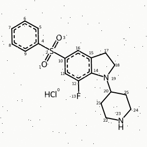 Cl.O=S(=O)(c1ccccc1)c1cc(F)c2c(c1)CCN2C1CCNCC1